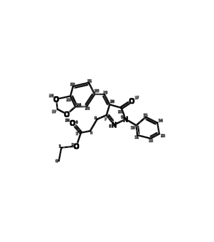 CCOC(=O)CCC1=NN(c2ccccc2)C(=O)C1=Cc1ccc2c(c1)OCO2